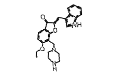 CCOc1ccc2c(c1CN1CCNCC1)OC(=Cc1c[nH]c3ccccc13)C2=O